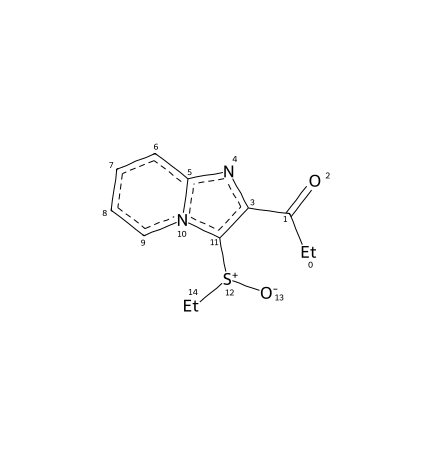 CCC(=O)c1nc2ccccn2c1[S+]([O-])CC